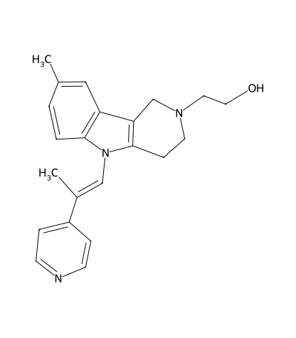 CC(=Cn1c2c(c3cc(C)ccc31)CN(CCO)CC2)c1ccncc1